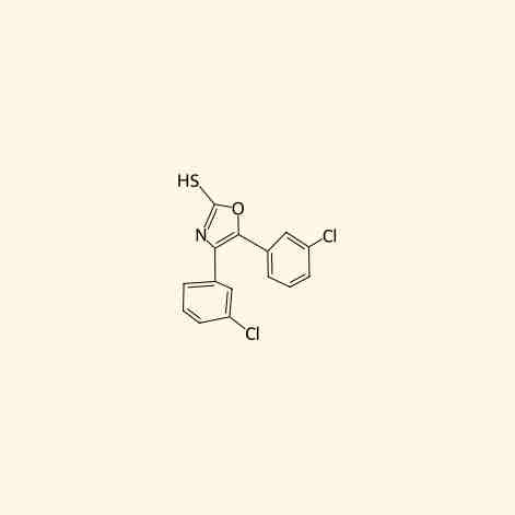 Sc1nc(-c2cccc(Cl)c2)c(-c2cccc(Cl)c2)o1